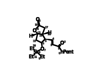 CCCCCC(=O)/C=C/[C@H]1C(O[Si](CC)(CC)CC)C[C@@H]2OC(=O)C[C@@H]21